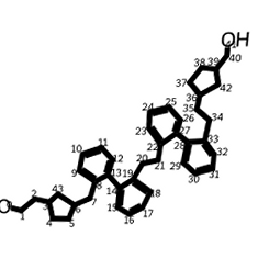 OCCC1CCC(Cc2ccccc2-c2ccccc2CCc2ccccc2-c2ccccc2CCC2CCC(CO)C2)C1